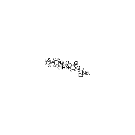 CCN(CC)CCOc1ccc(NC(=O)COc2ccc(-c3cccs3)cc2Cl)cc1Cl